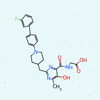 Cc1nc(CC2CCN(c3ccc(-c4cccc(F)c4)cc3)CC2)nc(C(=O)NCC(=O)O)c1O